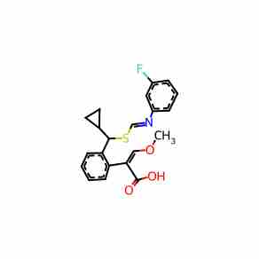 COC=C(C(=O)O)c1ccccc1C(SC=Nc1cccc(F)c1)C1CC1